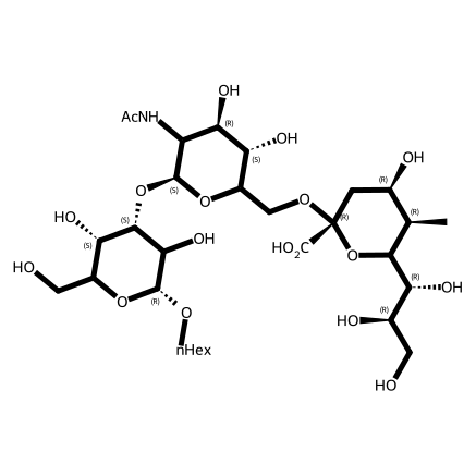 CCCCCCO[C@@H]1OC(CO)[C@H](O)[C@H](O[C@@H]2OC(CO[C@]3(C(=O)O)C[C@@H](O)[C@@H](C)C([C@H](O)[C@H](O)CO)O3)[C@@H](O)[C@H](O)C2NC(C)=O)C1O